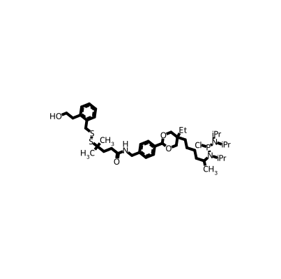 CCC1(CCCCC(C)N(C(C)C)P(Cl)N(C(C)C)C(C)C)COC(c2ccc(CNC(=O)CCC(C)(C)SSCc3ccccc3CCO)cc2)OC1